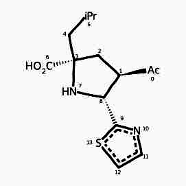 CC(=O)[C@@H]1C[C@@](CC(C)C)(C(=O)O)N[C@H]1c1nccs1